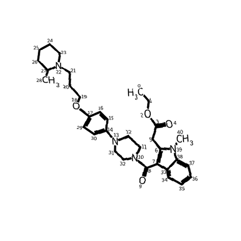 CCOC(=O)Cc1c(C(=O)N2CCN(c3ccc(OCCCN4CCCCC4C)cc3)CC2)c2ccccc2n1C